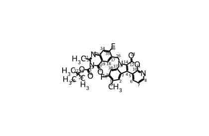 Cc1cc2c3c4cccnc4oc(=O)c3n(Cc3cc4c(=O)n(C(=O)OC(C)(C)C)c(C)nc4cc3F)c2cc1F